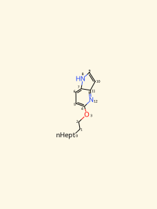 CCCCCCCCCOc1ccc2[nH]ccc2n1